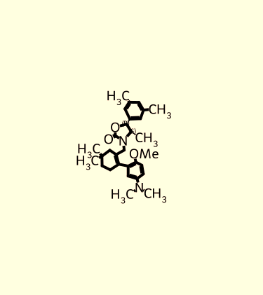 COc1ccc(N(C)C)cc1C1=C(CN2C(=O)O[C@H](c3cc(C)cc(C)c3)[C@@H]2C)CC(C)(C)CC1